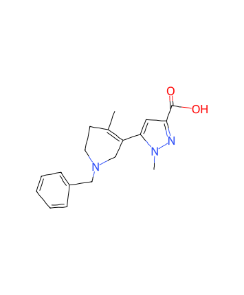 CC1=C(c2cc(C(=O)O)nn2C)CN(Cc2ccccc2)CC1